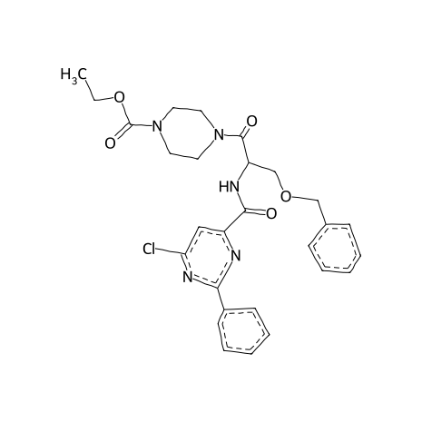 CCOC(=O)N1CCN(C(=O)C(COCc2ccccc2)NC(=O)c2cc(Cl)nc(-c3ccccc3)n2)CC1